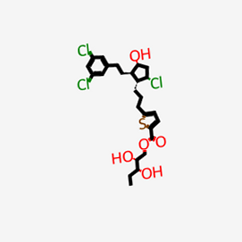 CC[C@H](O)[C@H](O)COC(=O)c1ccc(CCC[C@@H]2[C@@H](CCc3cc(Cl)cc(Cl)c3)[C@H](O)C[C@H]2Cl)s1